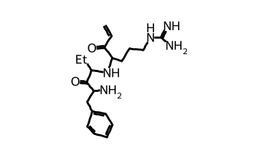 C=CC(=O)C(CCCNC(=N)N)NC(CC)C(=O)C(N)Cc1ccccc1